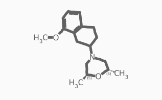 COc1cccc2c1CC(N1C[C@H](C)O[C@@H](C)C1)CC2